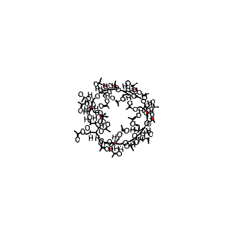 CC(=O)OC[C@H]1O[C@@H]2O[C@H]3[C@H](OC(C)=O)[C@@H](OC(C)=O)[C@@H](O[C@H]4[C@H](OC(C)=O)[C@@H](OC(C)=O)[C@@H](O[C@H]5[C@H](OC(C)=O)[C@@H](OC(C)=O)[C@@H](O[C@H]6[C@H](OC(C)=O)[C@@H](OC(C)=O)[C@@H](O[C@H]7[C@H](OC(C)=O)[C@@H](OC(C)=O)[C@@H](O[C@H]8[C@H](OC(C)=O)[C@@H](OC(C)=O)[C@@H](O[C@H]1[C@H](OC(C)=O)[C@H]2OC(C)=O)O[C@@H]8COC(C)=O)O[C@@H]7COC(C)=O)O[C@@H]6COC(C)=O)O[C@@H]5COC(C)=O)O[C@@H]4COC(C)=O)O[C@@H]3COC(C)=O